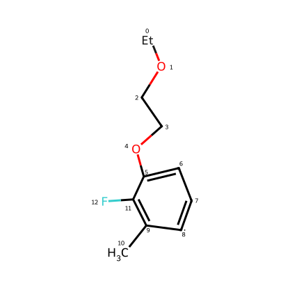 CCOCCOc1cc[c]c(C)c1F